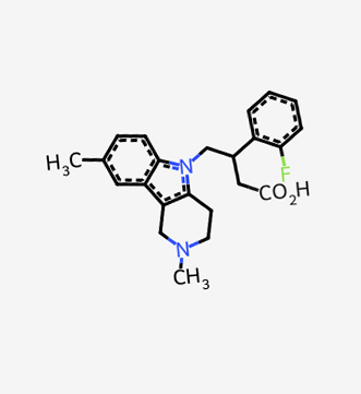 Cc1ccc2c(c1)c1c(n2CC(CC(=O)O)c2ccccc2F)CCN(C)C1